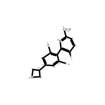 O=C(O)c1ccc(F)c(-c2c(F)cc(C3COC3)cc2F)n1